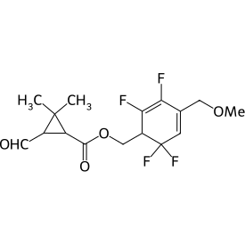 COCC1=CC(F)(F)C(COC(=O)C2C(C=O)C2(C)C)C(F)=C1F